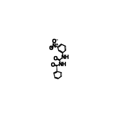 O=C(NC(=O)c1ccccc1)Nc1cccc([N+](=O)[O-])c1